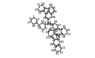 c1ccc(-c2cccc(N(c3ccc(-c4ccccc4-n4c5ccccc5c5cc6ccccc6cc54)cc3)c3cc4c5c(cccc5c3)-c3ccccc3-4)c2)cc1